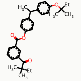 CCC(C)(C)Oc1ccc(C(C)c2ccc(OC(=O)c3cccc(C(=O)C(C)(C)CC)c3)cc2)cc1